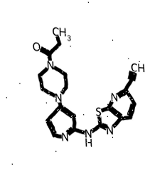 C#Cc1ccc2nc(Nc3cc(N4CCN(C(=O)CC)CC4)ccn3)sc2n1